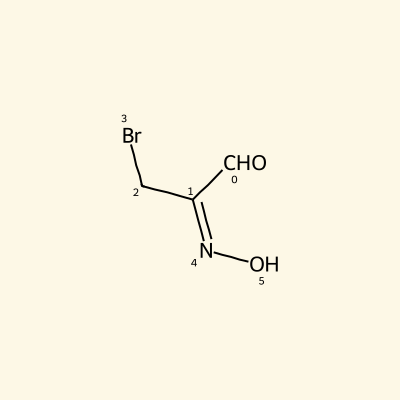 O=C/C(CBr)=N\O